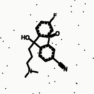 CN(C)CCCC(O)(c1ccc(F)cc1)c1ccc(C#N)cc1C=O